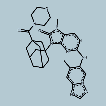 Cc1cc2ncnn2cc1Nc1ncc2c(n1)n(C13CC4CC(CC(C(=O)N5CCOCC5)(C4)C1)C3)c(=O)n2C